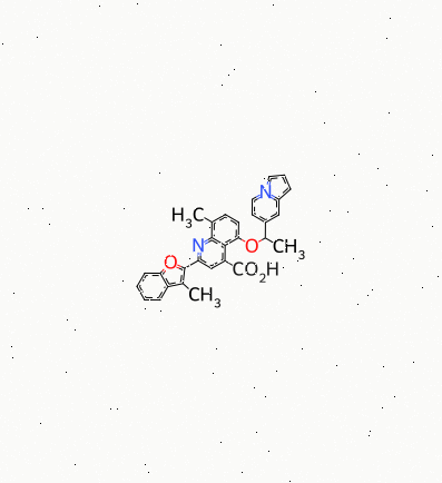 Cc1c(-c2cc(C(=O)O)c3c(OC(C)c4ccn5cccc5c4)ccc(C)c3n2)oc2ccccc12